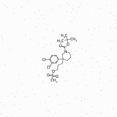 CC(C)(C)OC(=O)N1CCCC(CCCOS(C)(=O)=O)(c2ccc(Cl)c(Cl)c2)C1